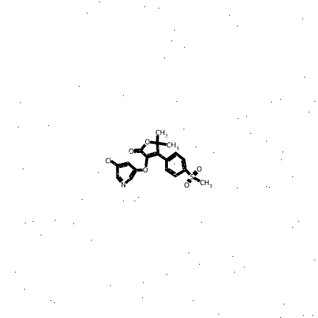 CC1(C)OC(=O)C(Oc2cncc(Cl)c2)=C1c1ccc(S(C)(=O)=O)cc1